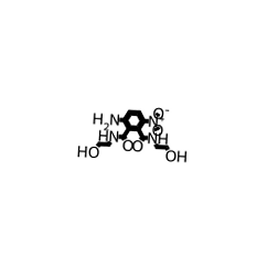 Nc1ccc([N+](=O)[O-])c(C(=O)NCCO)c1C(=O)NCCO